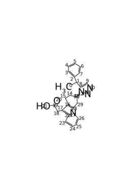 CC(c1ccccc1)c1cnnn1[C@@H]1CCc2c(CC(=O)O)c3ccccn3c2C1